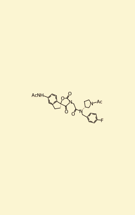 CC(=O)Nc1ccc2c(c1)CC[C@@]21OC(=O)N(CC(=O)N(Cc2ccc(F)cc2)[C@@H]2CCN(C(C)=O)C2)C1=O